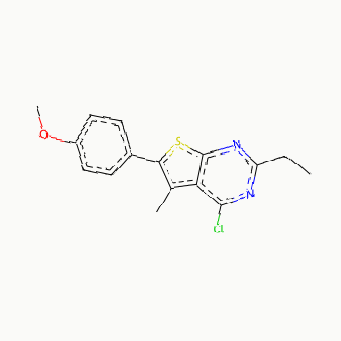 CCc1nc(Cl)c2c(C)c(-c3ccc(OC)cc3)sc2n1